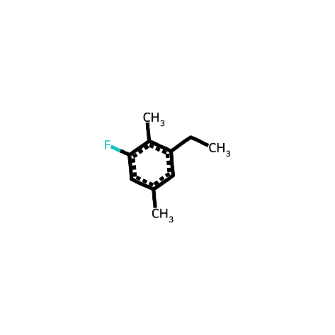 CCc1cc(C)cc(F)c1C